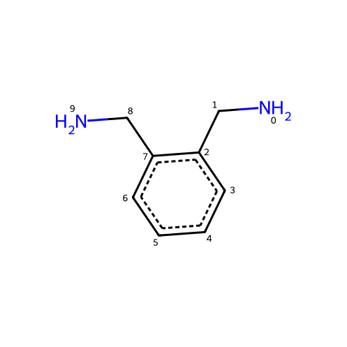 NCc1ccccc1CN